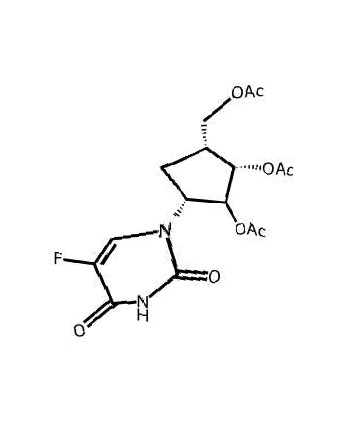 CC(=O)OC[C@H]1C[C@@H](n2cc(F)c(=O)[nH]c2=O)C(OC(C)=O)[C@H]1OC(C)=O